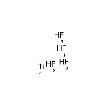 F.F.F.F.[Ti]